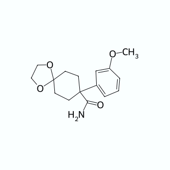 COc1cccc(C2(C(N)=O)CCC3(CC2)OCCO3)c1